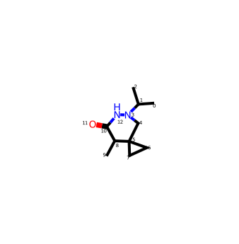 CC(C)N1CC2(CC2)C(C)C(=O)N1